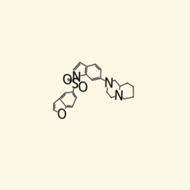 O=S(=O)(c1ccc2occc2c1)n1ccc2ccc(N3CCN4CCCCC4C3)cc21